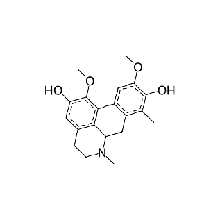 COc1cc2c(c(C)c1O)CC1c3c(cc(O)c(OC)c3-2)CCN1C